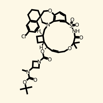 CN(C(=O)OC(C)(C)C)C1CN(C(=O)O[C@H]2C=CCOC(C)(C)C(=O)NS(=O)(=O)c3ccc4c(c3)N(C[C@@H]3CC[C@H]32)C[C@@]2(CCCc3cc(Cl)ccc32)CO4)C1